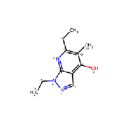 CCc1nc2c(cnn2CC)c(O)c1C